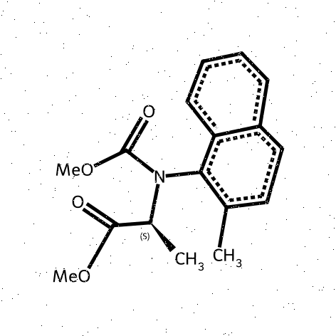 COC(=O)[C@H](C)N(C(=O)OC)c1c(C)ccc2ccccc12